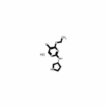 CCOc1nc(N[C@@H]2CCNC2)ncc1Cl.Cl